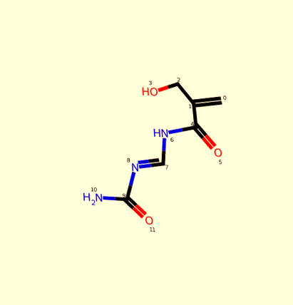 C=C(CO)C(=O)NC=NC(N)=O